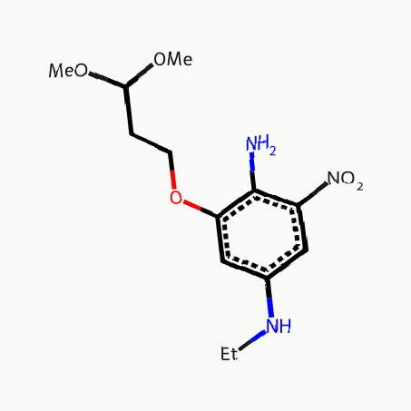 CCNc1cc(OCCC(OC)OC)c(N)c([N+](=O)[O-])c1